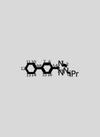 CC(C)n1cnc(-c2ccc(C3=CCCCC3)cc2)n1